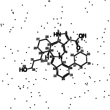 O=C(O)c1c[nH]c2c1=Cn1c(cc3cccc(C4CCCCC4)c31)[C@H]1C=2CCCC1CCCO